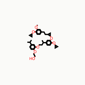 COc1cc(CCC2CC2Oc2cc(C(C)CCOc3cc(C(C)C)ccc3OCCO)ccc2OC2CC2)ccc1OC1CC1